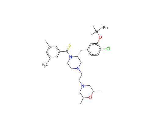 Cc1cc(C(=S)N2CCN(CCN3CC(C)OC(C)C3)C[C@H]2Cc2ccc(Cl)c(O[Si](C)(C)C(C)(C)C)c2)cc(C(F)(F)F)c1